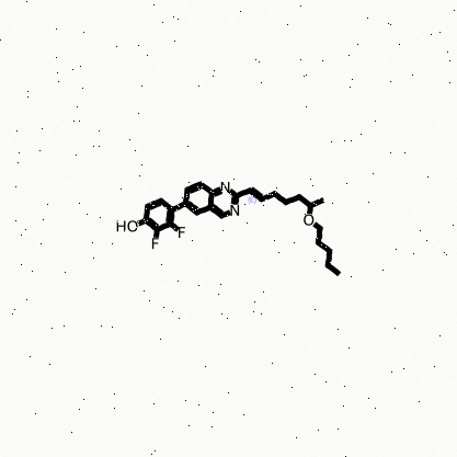 CCCCCOC(C)CCC/C=C/c1ncc2cc(-c3ccc(O)c(F)c3F)ccc2n1